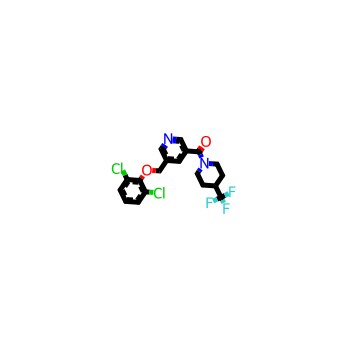 O=C(c1cncc(COc2c(Cl)cccc2Cl)c1)N1CCC(C(F)(F)F)CC1